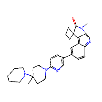 CN1C(=O)C2(CCC2)c2c1cnc1ccc(-c3ccc(N4CCC(C)(N5CCCCC5)CC4)nc3)cc21